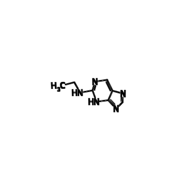 CCNc1ncc2ncnc-2[nH]1